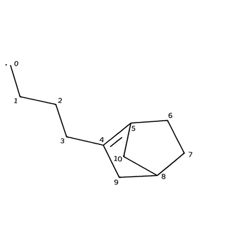 [CH2]CCCC1=C2CCC(C1)C2